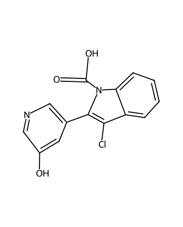 O=C(O)n1c(-c2cncc(O)c2)c(Cl)c2ccccc21